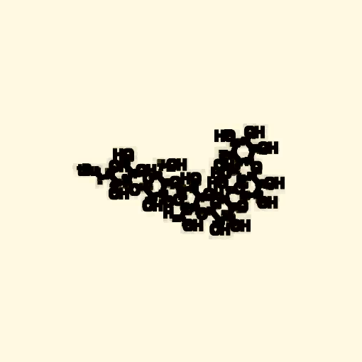 CC(C)(C)C[C@H](O)[C@@H](O)[C@H](O[C@@H]1O[C@H](CO)[C@@H](O[C@@H]2O[C@H](CO)[C@@H](O[C@@H]3O[C@H](CO)[C@@H](O[C@@H]4O[C@H](CO)[C@@H](O[C@@H]5C[C@H](CO)[C@@H](O)[C@H](O)[C@H]5O)[C@H](O)[C@H]4O)[C@H](O)[C@H]3O)[C@H](O)[C@H]2O)[C@H](O)[C@H]1O)[C@H](O)CO